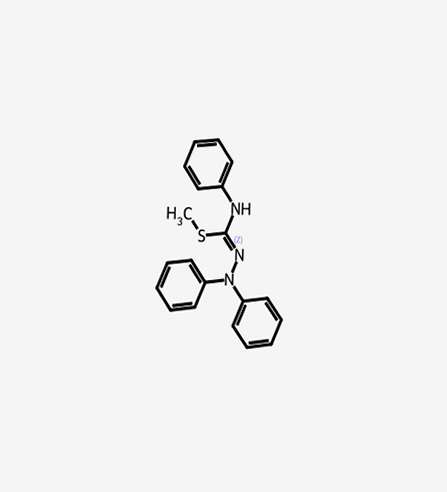 CS/C(=N\N(c1ccccc1)c1ccccc1)Nc1ccccc1